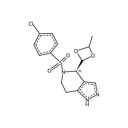 CC1OC([C@H]2c3cn[nH]c3CCN2S(=O)(=O)c2ccc(Cl)cc2)O1